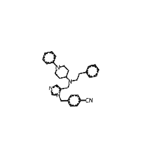 N#Cc1ccc(Cn2cncc2CN(CCc2ccccc2)C2CCN(c3ccccc3)CC2)cc1